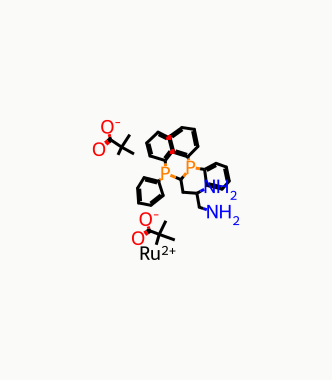 CC(C)(C)C(=O)[O-].CC(C)(C)C(=O)[O-].NCC(N)CC(P(c1ccccc1)c1ccccc1)P(c1ccccc1)c1ccccc1.[Ru+2]